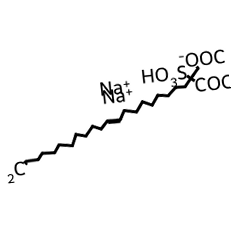 C=CCCCCCCCCCC=CCCCCCCCCC(CC(=O)[O-])(C(=O)[O-])S(=O)(=O)O.[Na+].[Na+]